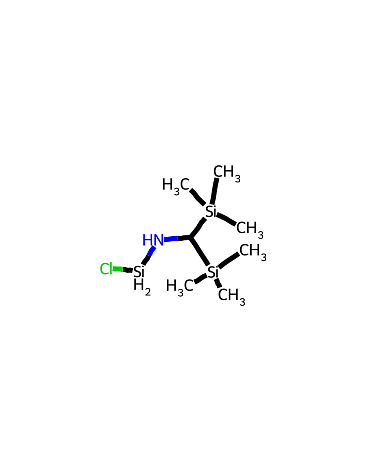 C[Si](C)(C)C(N[SiH2]Cl)[Si](C)(C)C